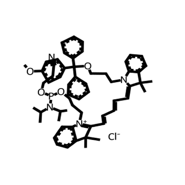 COc1ccc(C(OCCCN2\C(=C/C=C/C=C/C3=[N+](CCCOP(OCCC#N)N(C(C)C)C(C)C)c4ccccc4C3(C)C)C(C)(C)c3ccccc32)(c2ccccc2)c2ccccc2)cc1.[Cl-]